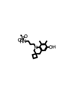 Cc1c(O)cc2c(c1C)N(CCCNS(C)(=O)=O)CC1(CCC1)C2